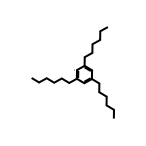 CCCCCCc1[c]c(CCCCCC)cc(CCCCCC)c1